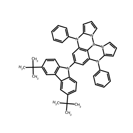 CC(C)(C)c1ccc2c(c1)c1cc(C(C)(C)C)ccc1n2-c1cc2c3c(c1)N(c1ccccc1)c1cccn1B3n1cccc1N2c1ccccc1